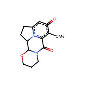 COc1c2n3c(cc1=O)CCC3C1OCCCN1C2=O